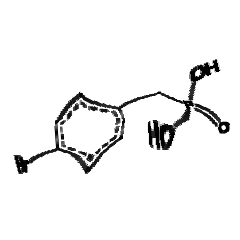 O=P(O)(O)Cc1ccc(Br)cc1